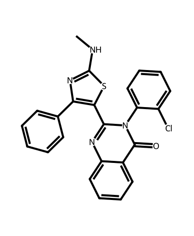 CNc1nc(-c2ccccc2)c(-c2nc3ccccc3c(=O)n2-c2ccccc2Cl)s1